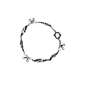 O=S1(=O)Cc2ccc(cc2)-c2ccc(cc2)CS(=O)(=O)Cc2ccc(cc2)-c2ccc(cc2)CS(=O)(=O)Cc2ccc(cc2)-c2ccc(cc2)C1